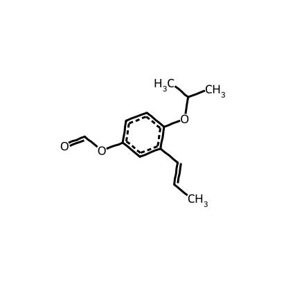 CC=Cc1cc(OC=O)ccc1OC(C)C